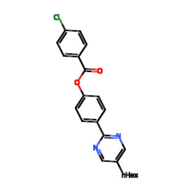 CCCCCCc1cnc(-c2ccc(OC(=O)c3ccc(Cl)cc3)cc2)nc1